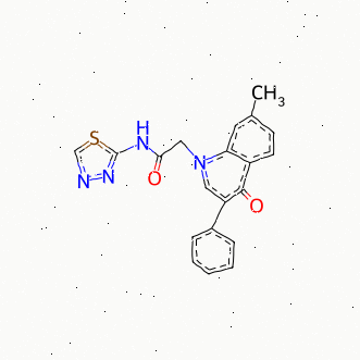 Cc1ccc2c(=O)c(-c3ccccc3)cn(CC(=O)Nc3nncs3)c2c1